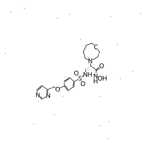 O=C(NO)[C@H](CNS(=O)(=O)c1ccc(OCc2ccncn2)cc1)N1CCCCCCC1